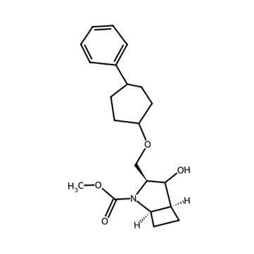 COC(=O)N1[C@@H]2CC[C@@H]2C(O)[C@@H]1COC1CCC(c2ccccc2)CC1